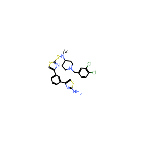 CC(=O)N(Sc1nc(-c2cccc(-c3csc(N)n3)c2)cs1)C1CCN(Cc2ccc(Cl)c(Cl)c2)CC1